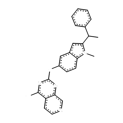 CC(c1ccccc1)c1cc2cc(Oc3nc(O)c4ccncc4n3)ccc2n1C